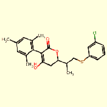 Cc1cc(C)c(C2=C(O)CC(C(C)CSc3cccc(Cl)c3)OC2=O)c(C)c1